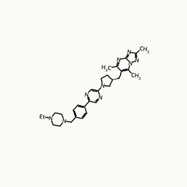 CCN1CCN(Cc2ccc(-c3cnc(N4CC[C@@H](Cc5c(C)nc6nc(C)nn6c5C)C4)cn3)cc2)CC1